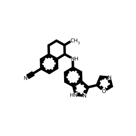 CC1CCc2cc(C#N)ccc2C1Nc1ccc2[nH]nc(-c3cnco3)c2c1